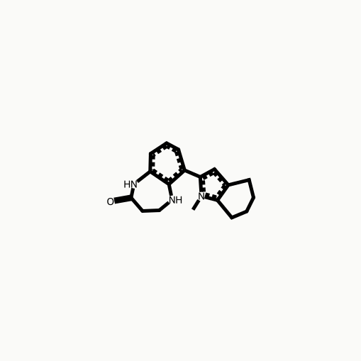 Cn1c(-c2cccc3c2NCCC(=O)N3)cc2c1CCCC2